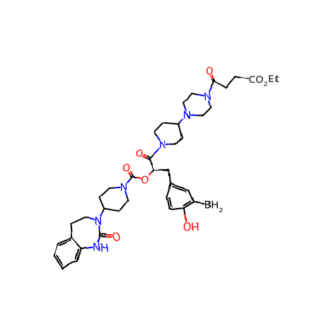 Bc1cc(C[C@@H](OC(=O)N2CCC(N3CCc4ccccc4NC3=O)CC2)C(=O)N2CCC(N3CCN(C(=O)CCC(=O)OCC)CC3)CC2)ccc1O